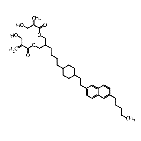 C=C(CO)C(=O)OCC(CCCCC1CCC(CCc2ccc3cc(CCCCC)ccc3c2)CC1)COC(=O)C(=C)CO